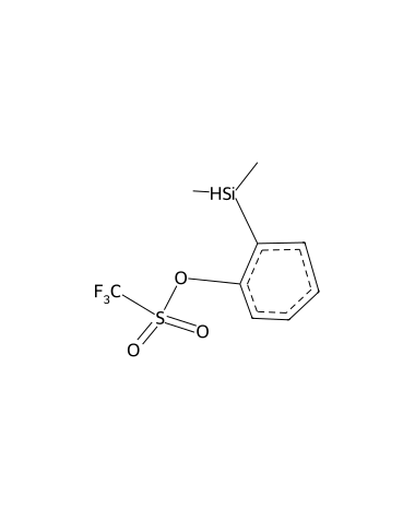 C[SiH](C)c1ccccc1OS(=O)(=O)C(F)(F)F